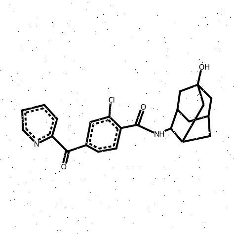 O=C(c1ccc(C(=O)NC2C3CC4CC2CC(O)(C4)C3)c(Cl)c1)c1ccccn1